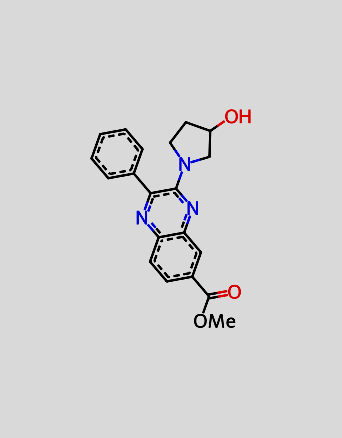 COC(=O)c1ccc2nc(-c3ccccc3)c(N3CCC(O)C3)nc2c1